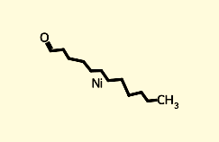 CCCCCCCCCCCC=O.[Ni]